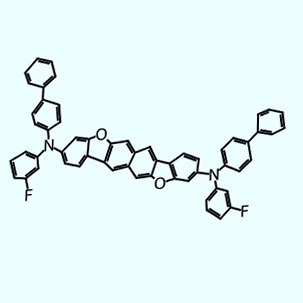 Fc1cccc(N(c2ccc(-c3ccccc3)cc2)c2ccc3c(c2)oc2cc4cc5c(cc4cc23)oc2cc(N(c3ccc(-c4ccccc4)cc3)c3cccc(F)c3)ccc25)c1